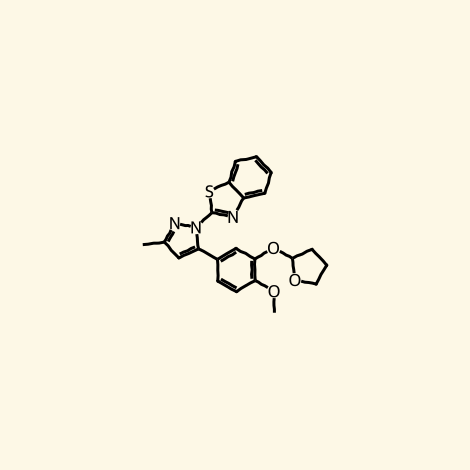 COc1ccc(-c2cc(C)nn2-c2nc3ccccc3s2)cc1OC1CCCO1